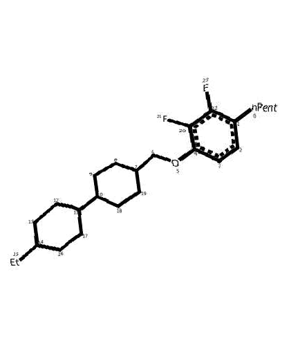 CCCCCc1ccc(OCC2CCC(C3CCC(CC)CC3)CC2)c(F)c1F